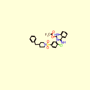 N=C1c2ccccc2NC(OC(=O)C(F)(F)F)N1c1cc(S(=O)(=O)N2CCC(Cc3ccccc3)CC2)ccc1Cl